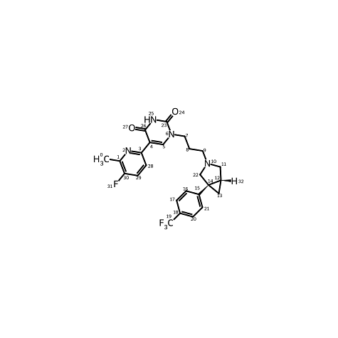 Cc1nc(-c2cn(CCCN3C[C@@H]4C[C@]4(c4ccc(C(F)(F)F)cc4)C3)c(=O)[nH]c2=O)ccc1F